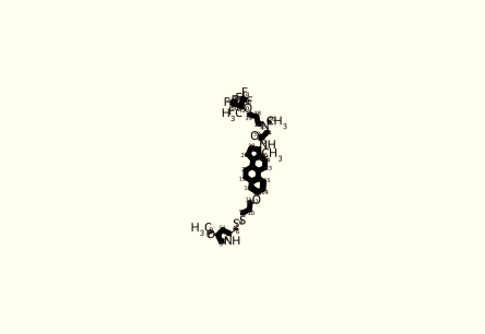 CO[C@@H]1CN[C@@H](CSSCCCOc2ccc3c(c2)CCC2C3CC[C@@]3(C)C2CC[C@@H]3NC(=O)CN(C)CCCOC(C)(C(F)(F)F)C(F)(F)F)C1